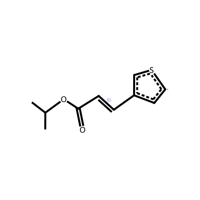 CC(C)OC(=O)/C=C/c1c[c]sc1